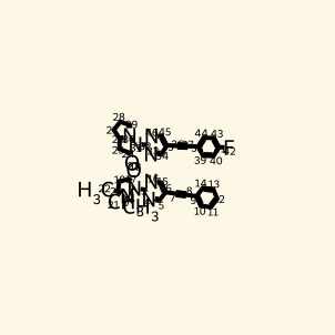 CN1N(c2ncc(C#Cc3ccccc3)cn2)C(=O)CC1(C)C.O=C1CC2CCCN2N1c1ncc(C#Cc2ccc(F)cc2)cn1